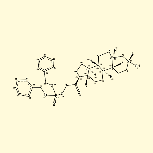 C[C@@]1(O)CC[C@@]2(C)[C@@H](CC[C@@H]3[C@@H]2CC[C@]2(C)[C@@H](C(=O)COP(=O)(OCc4ccccc4)OCc4ccccc4)CC[C@@H]32)C1